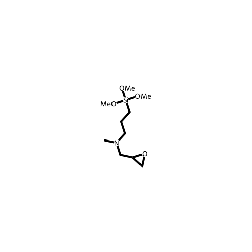 CO[Si](CCCN(C)CC1CO1)(OC)OC